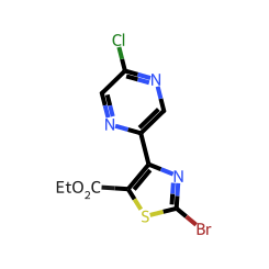 CCOC(=O)c1sc(Br)nc1-c1cnc(Cl)cn1